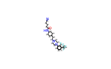 N#CCCCC(=O)NC1CCC(CCN2CCN(c3cccc(C(F)(F)F)c3F)CC2)CC1